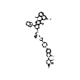 CCc1cccc2cc(O)cc(-c3ncc4c(N5CC6CCC(C5)N6)nc(OCC5(CN6CC(N7CCN(c8ccc9c(c8)CN(C8CCC(=O)NC8=O)C9=O)CC7)C6)CC5)nc4c3F)c12